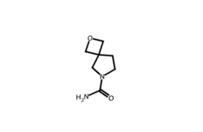 NC(=O)N1CCC2(COC2)C1